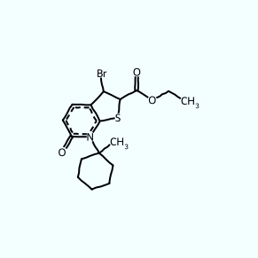 CCOC(=O)C1Sc2c(ccc(=O)n2C2(C)CCCCC2)C1Br